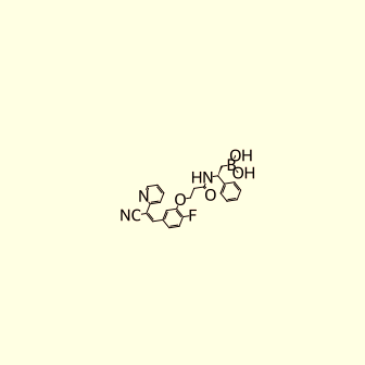 N#CC(=Cc1ccc(F)c(OCCC(=O)N[C@@H](CB(O)O)c2ccccc2)c1)c1ccccn1